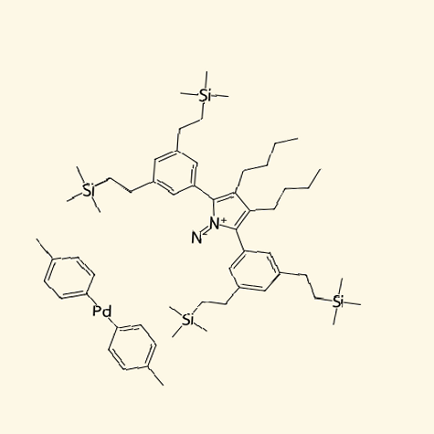 CCCCC1=C(c2cc(CC[Si](C)(C)C)cc(CC[Si](C)(C)C)c2)[N+](=[N-])C(c2cc(CC[Si](C)(C)C)cc(CC[Si](C)(C)C)c2)=C1CCCC.Cc1cc[c]([Pd][c]2ccc(C)cc2)cc1